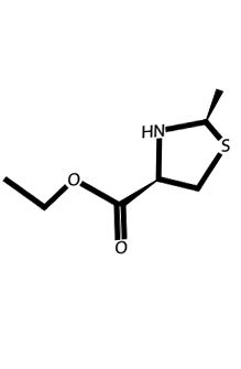 CCOC(=O)[C@@H]1CS[C@H](C)N1